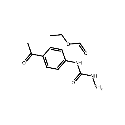 CC(=O)c1ccc(NC(=O)NN)cc1.CCOC=O